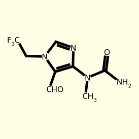 CN(C(N)=O)c1ncn(CC(F)(F)F)c1C=O